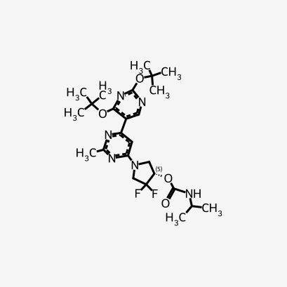 Cc1nc(-c2cnc(OC(C)(C)C)nc2OC(C)(C)C)cc(N2C[C@H](OC(=O)NC(C)C)C(F)(F)C2)n1